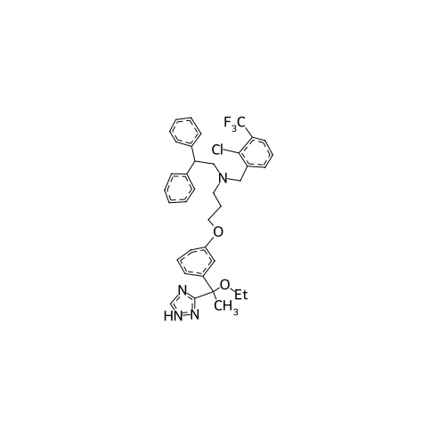 CCOC(C)(c1cccc(OCCCN(Cc2cccc(C(F)(F)F)c2Cl)CC(c2ccccc2)c2ccccc2)c1)c1nc[nH]n1